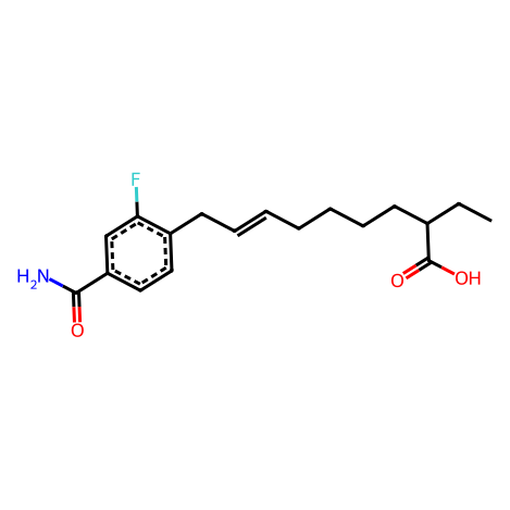 CCC(CCCCC=CCc1ccc(C(N)=O)cc1F)C(=O)O